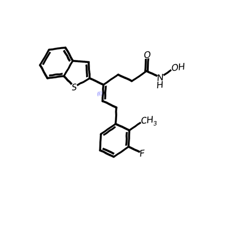 Cc1c(F)cccc1C/C=C(\CCC(=O)NO)c1cc2ccccc2s1